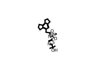 CNS(=O)(=NC(=O)Cc1cc2c(c3c1CCC3)CCC2)c1cnc(C(C)(C)O)s1